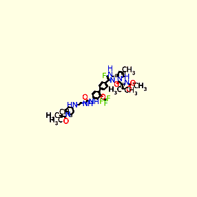 COC(=O)N[C@H](C(=O)N1C[C@@H](C)C[C@H]1c1nc(-c2ccc(-c3ccc(NC(=O)NCCNC4CCN(C(=O)C(C)(C)C)CC4)cc3OC(F)(F)F)cc2)c(F)[nH]1)C(C)C